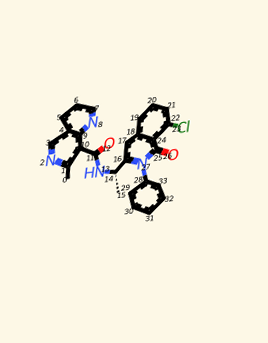 Cc1ncc2cccnc2c1C(=O)N[C@@H](C)c1cc2cccc(Cl)c2c(=O)n1-c1ccccc1